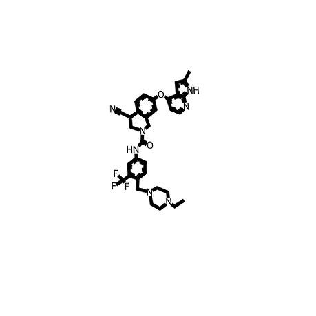 CCN1CCN(Cc2ccc(NC(=O)N3Cc4cc(Oc5ccnc6[nH]c(C)cc56)ccc4C(C#N)C3)cc2C(F)(F)F)CC1